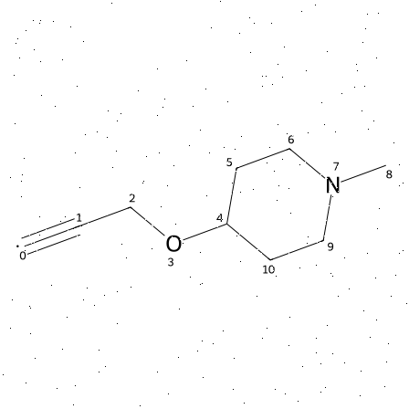 [C]#CCOC1CCN(C)CC1